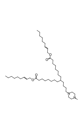 CCCCCC/C=C/COC(=O)CCCCCCCC(CCCCCCCC(=O)OC/C=C/CCCCCC)CCCCN1CCN(C)CC1